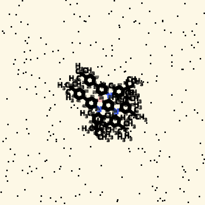 CCC(C)(CC)c1cc(C)c(N2c3ccc(-c4ccc(C(C)(C)C)cc4)cc3B3c4cc(-c5ccc(C(C)(C)C)cc5)ccc4N(c4c(C)cc(C(C)(CC)CC)cc4C)c4cc(N(c5cc(C(C)(C)C)cc(C(C)(C)C)c5)c5cc(C(C)(C)C)cc(C(C)(C)C)c5)cc2c43)c(C)c1